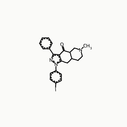 CN1CCC2Cc3c(c(-c4ccccc4)nn3-c3ccc(I)cc3)C(=O)C2C1